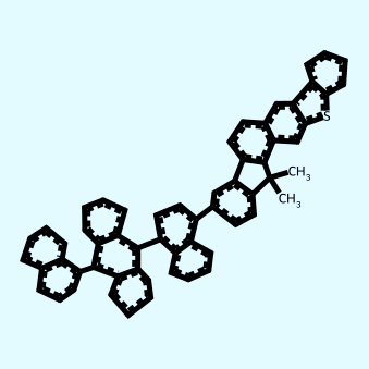 CC1(C)c2ccc(-c3ccc(-c4c5ccccc5c(-c5cccc6ccccc56)c5ccccc45)c4ccccc34)cc2-c2ccc3cc4c(cc3c21)sc1ccccc14